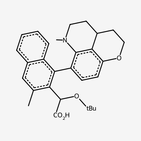 Cc1cc2ccccc2c(-c2ccc3c4c2N(C)CCC4CCO3)c1C(OC(C)(C)C)C(=O)O